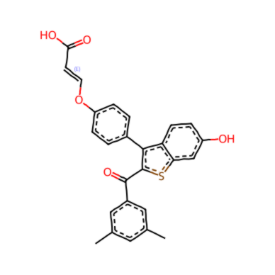 Cc1cc(C)cc(C(=O)c2sc3cc(O)ccc3c2-c2ccc(O/C=C/C(=O)O)cc2)c1